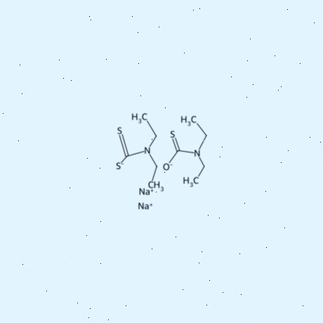 CCN(CC)C(=S)[S-].CCN(CC)C([O-])=S.[Na+].[Na+]